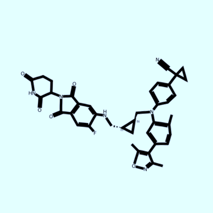 Cc1ccc(-c2c(C)noc2C)cc1N(C[C@H]1C[C@@H]1CNc1cc2c(cc1F)C(=O)N(C1CCC(=O)NC1=O)C2=O)c1ccc(C2(C#N)CC2)cc1